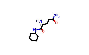 NC(=O)CC[C@@H](N)C(=O)NC1CCCCC1